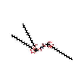 CCCCCCCCCCCCCCCCCC(=O)OCC(CO)(CO)COC(=O)/C=C/C(=O)OCC(CO)(COC(=O)CCCCCCCCCCCCCCCCC)COC(=O)CCCCCCCCCCCCCCCCC